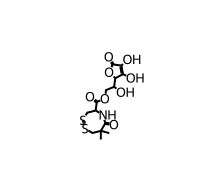 CC1(C)CSSCC(C(=O)OCC(O)C2OC(=O)C(O)=C2O)NC1=O